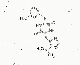 C=C(C)c1ocnc1/C=c1\[nH]c(=O)/c(=C/c2cccc(C)c2)[nH]c1=O